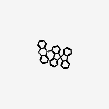 c1ccc2c(c1)Sc1ccccc1N2c1cccc2c1-c1ccccc1C21c2ccccc2-c2ccccc21